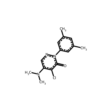 Cc1cc(C)cc(-n2ncc(N(C)C)c(Cl)c2=O)c1